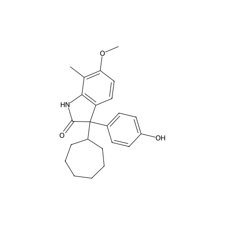 COc1ccc2c(c1C)NC(=O)C2(c1ccc(O)cc1)C1CCCCCC1